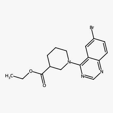 CCOC(=O)C1CCCN(c2ncnc3ccc(Br)cc23)C1